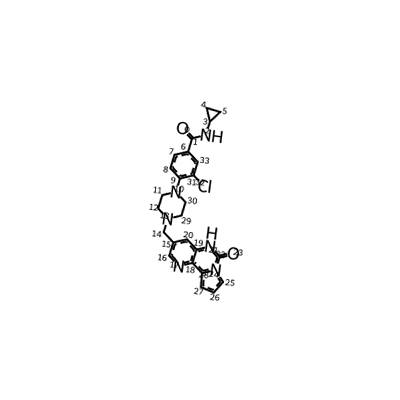 O=C(NC1CC1)c1ccc(N2CCN(Cc3cnc4c(c3)[nH]c(=O)n3cccc43)CC2)c(Cl)c1